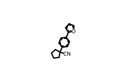 N#CC1(c2ccc(-c3ccco3)cc2)CCCC1